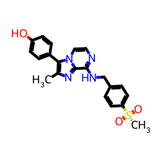 Cc1nc2c(NCc3ccc(S(C)(=O)=O)cc3)nccn2c1-c1ccc(O)cc1